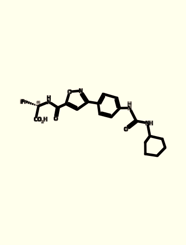 CC(C)[C@H](NC(=O)c1cc(-c2ccc(NC(=O)NC3CCCCC3)cc2)no1)C(=O)O